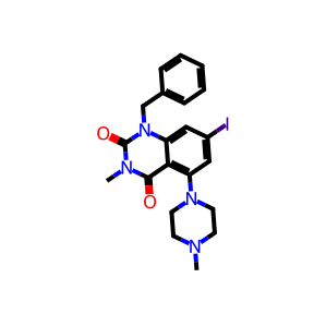 CN1CCN(c2cc(I)cc3c2c(=O)n(C)c(=O)n3Cc2ccccc2)CC1